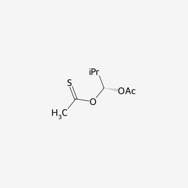 CC(=O)O[C@H](OC(C)=S)C(C)C